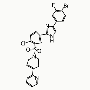 O=S(=O)(c1cc(-c2nc(-c3ccc(Br)c(F)c3)c[nH]2)ccc1Cl)N1CC=C(c2ccccn2)CC1